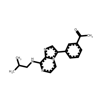 CC(=O)c1cccc(-c2cnc3c(NCC(C)C)nccn23)c1